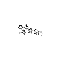 CC1(C)CCC(c2noc(N3C=NC4c5ccccc5-n5c(cnc5F)N43)n2)O1